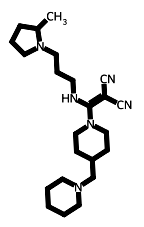 CC1CCCN1CCCNC(=C(C#N)C#N)N1CCC(CN2CCCCC2)CC1